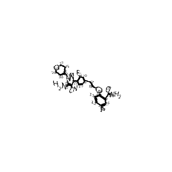 N#Cc1c(-c2ccc(CCOc3ccc(F)cc3C(N)=O)cc2F)nn(C2CCOCC2)c1N